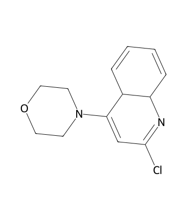 ClC1=NC2C=CC=CC2C(N2CCOCC2)=C1